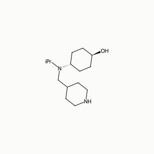 CC(C)N(CC1CCNCC1)[C@H]1CC[C@H](O)CC1